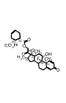 C[C@@H]1CC2C3CCC4=CC(=O)C=C[C@]4(C)[C@@]3(F)[C@@H](O)C[C@]2(C)[C@@]1(O)C(=O)COC(=O)[C@H]1CC=CC[C@H]1C(=O)O